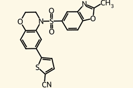 Cc1nc2cc(S(=O)(=O)N3CCOc4ccc(-c5ccc(C#N)s5)cc43)ccc2o1